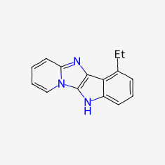 CCc1cccc2[nH]c3c(nc4ccccn43)c12